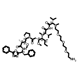 CC[C@H](C)[C@@H]([C@@H](CC(=O)N1CCC[C@H]1[C@H](OC)[C@@H](C)C(=O)N[C@@H](Cc1ccccc1)c1nnc(-c2ccccc2)o1)OC)N(C)[C@H](C(=O)NC(=O)[C@H](C(C)C)N(C)CCOCCOCCOCCN)C(C)C